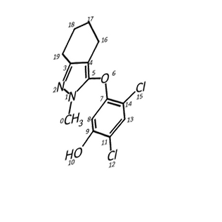 Cn1nc2c(c1Oc1cc(O)c(Cl)cc1Cl)CCCC2